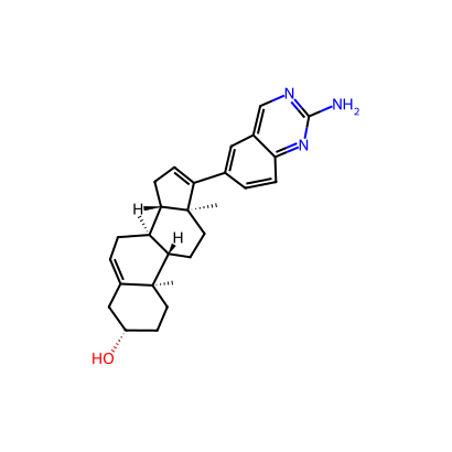 C[C@@]12CC=C3C[C@@H](O)CC[C@]3(C)[C@H]1CC[C@]1(C)C(c3ccc4nc(N)ncc4c3)=CC[C@@H]21